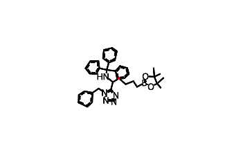 CC1(C)OB(CCCCC(NC(c2ccccc2)(c2ccccc2)c2ccccc2)c2nnnn2Cc2ccccc2)OC1(C)C